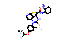 Cc1cc(OC(C)C)ccc1N1C(=O)Nc2c(C(=O)NC3CCCCC3N)sc3nccc1c23